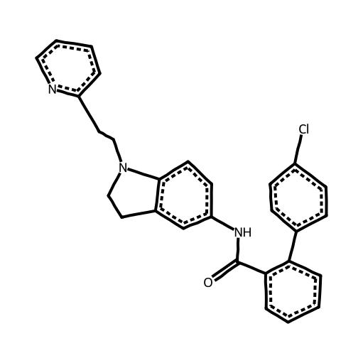 O=C(Nc1ccc2c(c1)CCN2CCc1ccccn1)c1ccccc1-c1ccc(Cl)cc1